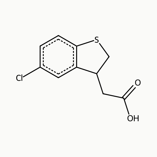 O=C(O)CC1CSc2ccc(Cl)cc21